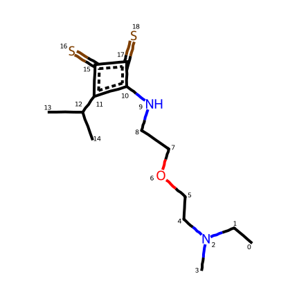 CCN(C)CCOCCNc1c(C(C)C)c(=S)c1=S